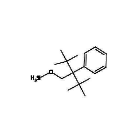 CC(C)(C)C(CO[SiH3])(c1ccccc1)C(C)(C)C